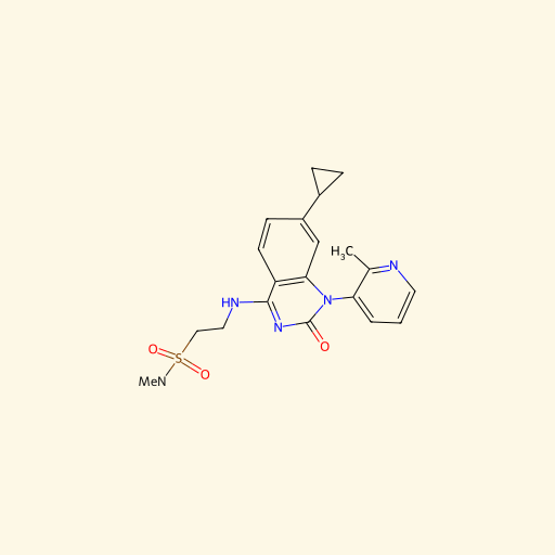 CNS(=O)(=O)CCNc1nc(=O)n(-c2cccnc2C)c2cc(C3CC3)ccc12